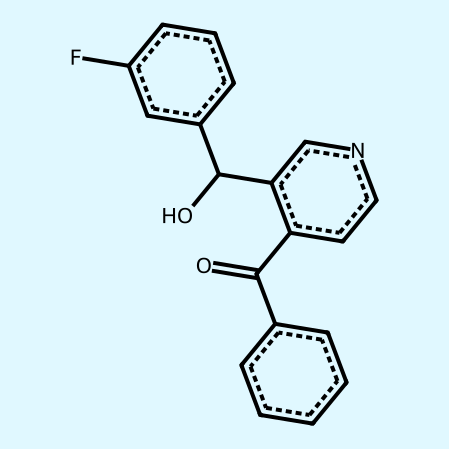 O=C(c1ccccc1)c1ccncc1C(O)c1cccc(F)c1